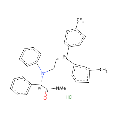 CNC(=O)[C@H](c1ccccc1)N(CC[C@H](c1ccc(C(F)(F)F)cc1)c1cccc(C)c1)c1ccccc1.Cl